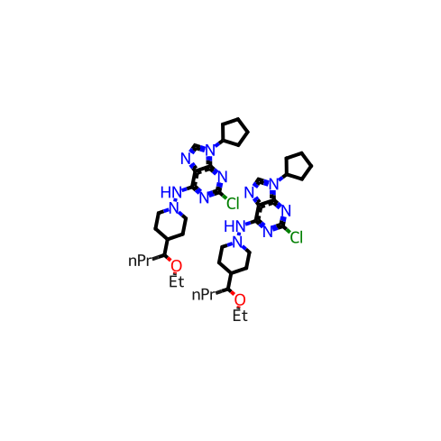 CCCC(OCC)C1CCN(Nc2nc(Cl)nc3c2ncn3C2CCCC2)CC1.CCCC(OCC)C1CCN(Nc2nc(Cl)nc3c2ncn3C2CCCC2)CC1